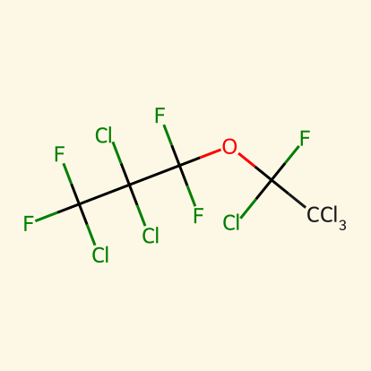 FC(F)(Cl)C(Cl)(Cl)C(F)(F)OC(F)(Cl)C(Cl)(Cl)Cl